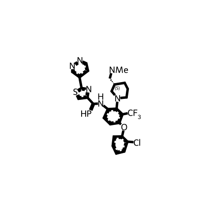 CNC[C@@H]1CCCN(c2c(NC(=P)c3csc(-c4ccnnc4)n3)ccc(Oc3ccccc3Cl)c2C(F)(F)F)C1